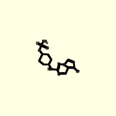 CS(=O)(=O)O[C@H]1CC[C@@H](Nc2ncc3c(Br)ccn3n2)CC1